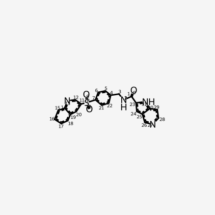 O=C(NCc1ccc(S(=O)(=O)c2cnc3ccccc3c2)cc1)c1cc2cnccc2[nH]1